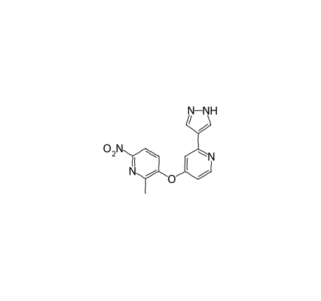 Cc1nc([N+](=O)[O-])ccc1Oc1ccnc(-c2cn[nH]c2)c1